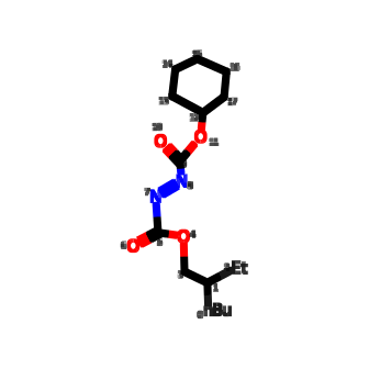 CCCCC(CC)COC(=O)N=NC(=O)OC1CCCCC1